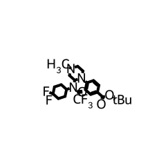 CN1CCN(c2ccc(C(=O)OC(C)(C)C)cc2)C(N(C(=O)C(F)(F)F)C2CCC(F)(F)CC2)C1